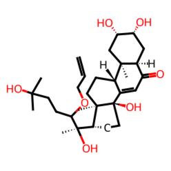 C=CCOC(CCC(C)(C)O)[C@](C)(O)[C@H]1CC[C@@]2(O)C3=CC(=O)[C@@H]4C[C@@H](O)[C@@H](O)C[C@]4(C)[C@H]3CC[C@]12C